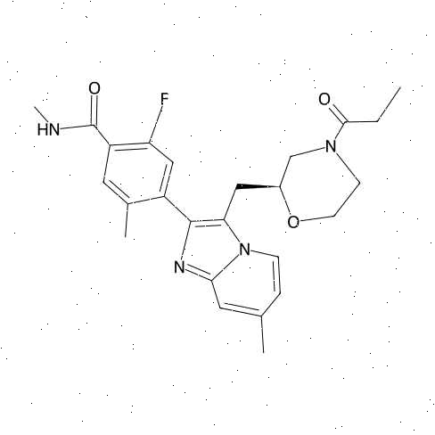 CCC(=O)N1CCO[C@@H](Cc2c(-c3cc(F)c(C(=O)NC)cc3C)nc3cc(C)ccn23)C1